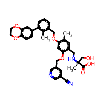 Cc1cc(CN[C@@](C)(CO)C(=O)O)c(OCc2cncc(C#N)c2)cc1OCc1cccc(-c2ccc3c(c2)OCCO3)c1C